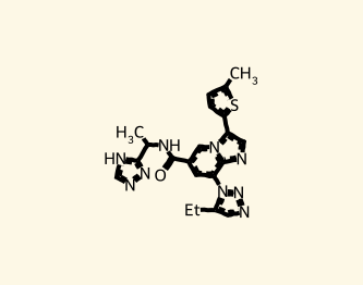 CCc1cnnn1-c1cc(C(=O)NC(C)c2nnc[nH]2)cn2c(-c3ccc(C)s3)cnc12